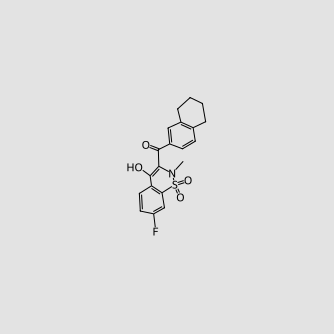 CN1C(C(=O)c2ccc3c(c2)CCCC3)=C(O)c2ccc(F)cc2S1(=O)=O